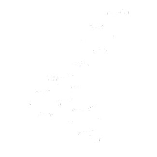 COc1ccc(/C=C/C(=O)Nc2ccccc2Oc2ccc(F)cc2)cc1